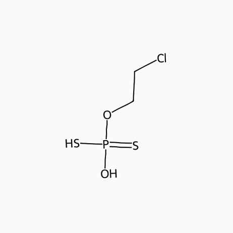 OP(=S)(S)OCCCl